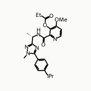 CCC(=O)Oc1c(OC)ccnc1C(=O)N[C@@H](C)c1nc(-c2ccc(C(C)C)cc2)n(C)n1